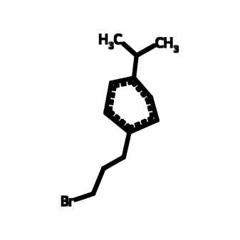 CC(C)c1ccc(CCCBr)cc1